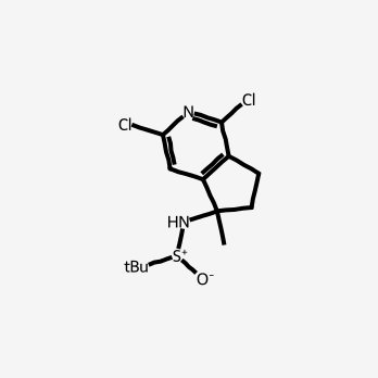 CC1(N[S+]([O-])C(C)(C)C)CCc2c1cc(Cl)nc2Cl